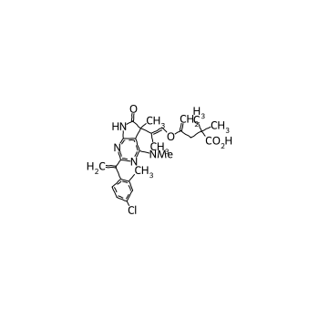 C=C(CC(C)(C)C(=O)O)O/C=C(\C)C1(C)C(=O)Nc2nc(C(=C)c3ccc(Cl)cc3C)nc(NC)c21